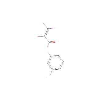 O=C(Oc1cccc(Cl)c1)C(I)=C(I)I